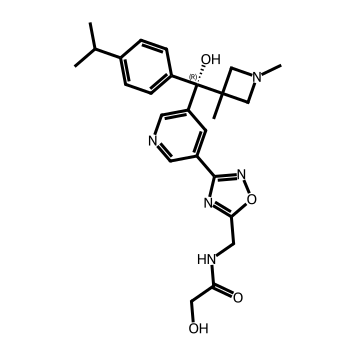 CC(C)c1ccc([C@](O)(c2cncc(-c3noc(CNC(=O)CO)n3)c2)C2(C)CN(C)C2)cc1